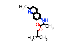 Cc1ccc2cc(N[C@@H](C)C(=O)OCC(C)C)ccc2n1